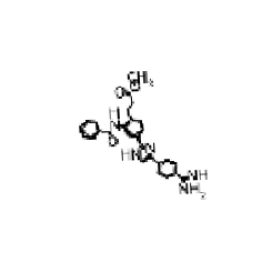 COC(=O)CCc1ccc(-c2nc(-c3ccc(C(=N)N)cc3)c[nH]2)cc1NC(=O)c1ccccc1